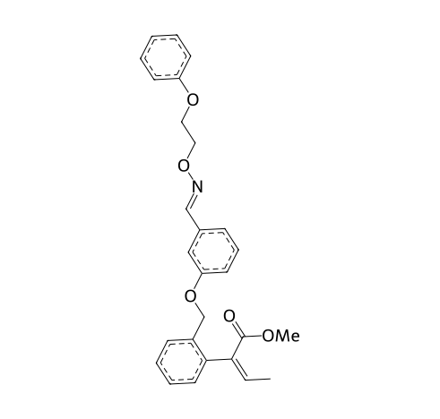 CC=C(C(=O)OC)c1ccccc1COc1cccc(C=NOCCOc2ccccc2)c1